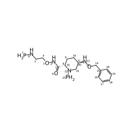 O=C(NOCCNP)[C@@H]1CC[C@@H](NOCc2ccccc2)CN1P